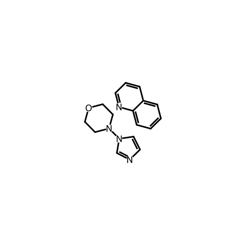 c1ccc2ncccc2c1.c1cn(N2CCOCC2)cn1